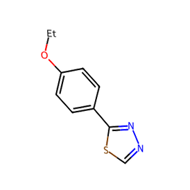 CCOc1ccc(-c2nncs2)cc1